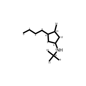 CCCCC1CC(NC(C)(C)C)CC1C